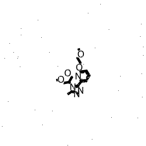 COCCOc1cccc(-c2nnc(C)n2C(COC)COC)n1